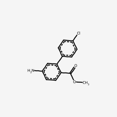 COC(=O)c1ccc(N)cc1-c1ccc(Cl)cc1